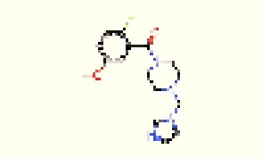 COc1ccc(F)c(C(=O)N2CCN(Cn3ccnc3)CC2)c1